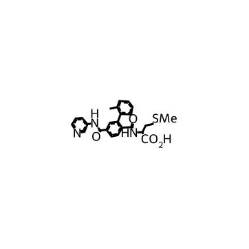 CSCCC(NC(=O)c1ccc(C(=O)Nc2cccnc2)cc1-c1ccccc1C)C(=O)O